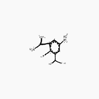 CC(N)c1cc([N+](=O)[O-])cc(C(F)F)c1F.Cl